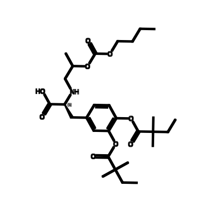 CCCCOC(=O)OC(C)CN[C@@H](Cc1ccc(OC(=O)C(C)(C)CC)c(OC(=O)C(C)(C)CC)c1)C(=O)O